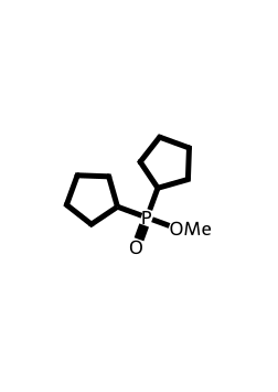 COP(=O)(C1CCCC1)C1CCCC1